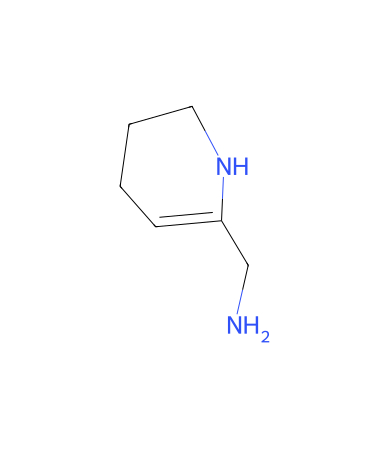 NCC1=CCCCN1